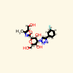 Cc1nc([C@@H]2O[C@H](CO)[C@H](O)[C@H](n3cc(-c4cccc(F)c4)nn3)[C@H]2O)oc1CO